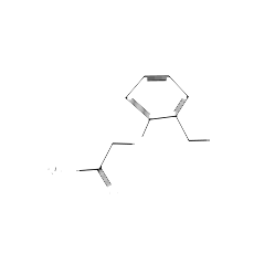 COC(=O)COc1ccccc1CO